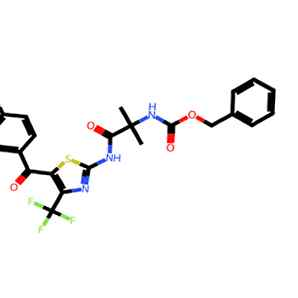 CC(C)(NC(=O)OCc1ccccc1)C(=O)Nc1nc(C(F)(F)F)c(C(=O)c2ccc(F)cc2)s1